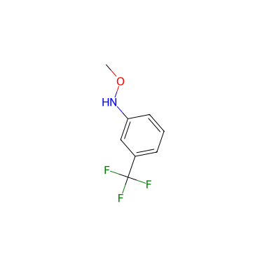 CONc1cccc(C(F)(F)F)c1